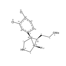 COCC[C@H]1[C@@H]2CNC[C@]12c1ccc(Cl)c(Cl)c1